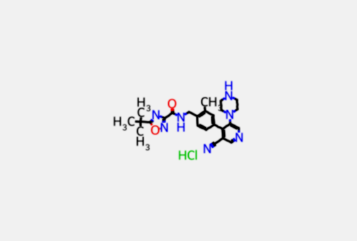 Cc1cc(-c2c(C#N)cncc2N2CCNCC2)ccc1CNC(=O)c1noc(C(C)(C)C)n1.Cl